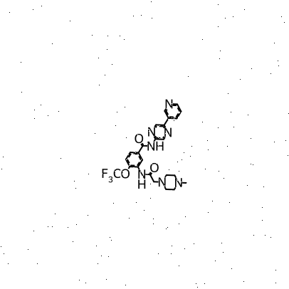 CN1CCN(CC(=O)Nc2cc(C(=O)Nc3cnc(-c4cccnc4)cn3)ccc2OC(F)(F)F)CC1